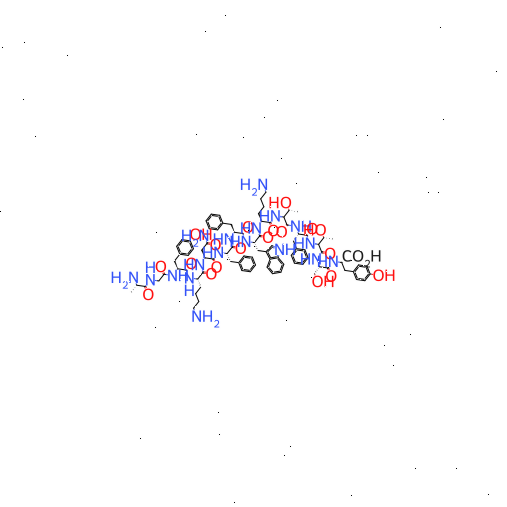 C[C@H](N)C(=O)NCC(=O)N[C@@H](Cc1ccc(O)cc1)C(=O)N[C@@H](CCCCN)C(=O)N[C@@H](CC(N)=O)C(=O)N[C@@H](Cc1ccccc1)C(=O)N[C@@H](Cc1ccccc1)C(=O)N[C@@H](Cc1c[nH]c2ccccc12)C(=O)N[C@@H](CCCCN)C(=O)N[C@H](C(=O)N[C@@H](Cc1ccccc1)C(=O)N[C@H](C(=O)N[C@@H](CO)C(=O)N[C@@H](Cc1ccc(O)cc1)C(=O)O)[C@@H](C)O)[C@@H](C)O